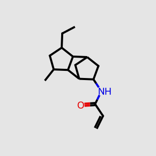 C=CC(=O)NC1CC2CC1C1C(C)CC(CC)C21